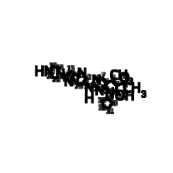 CC(=O)C1=C(C)c2cnc(Nc3cnc4cc(N5CCNCC5)nn4c3)nc2N(C2CCCC2)C1O